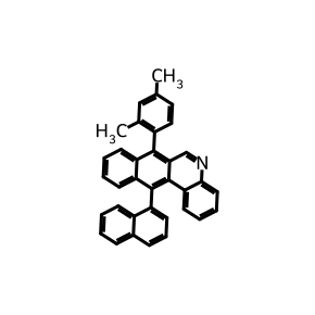 Cc1ccc(-c2c3ccccc3c(-c3cccc4ccccc34)c3c2cnc2ccccc23)c(C)c1